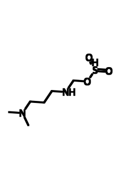 CN(C)CCCNCO[SH](=O)=O